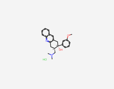 COc1cccc([C@]2(O)Cc3cc4ccccc4nc3C[C@@H]2CN(C)C)c1.Cl